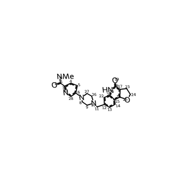 CNC(=O)c1ccc(N2CCN(Cc3ccc4c5c(c(=O)[nH]c4c3)CCO5)CC2)cn1